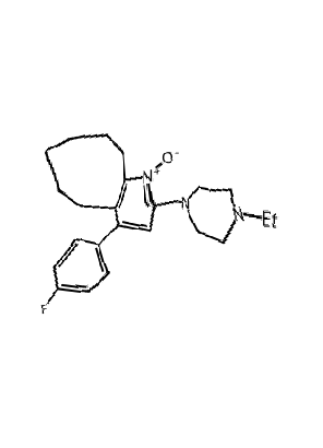 CCN1CCN(c2cc(-c3ccc(F)cc3)c3c([n+]2[O-])CCCCCC3)CC1